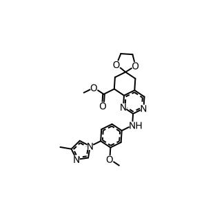 COC(=O)C1CC2(Cc3cnc(Nc4ccc(-n5cnc(C)c5)c(OC)c4)nc31)OCCO2